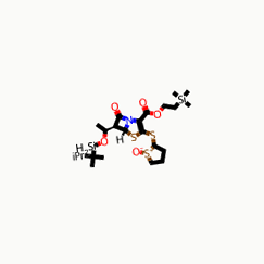 CC(O[SiH2]C(C)(C)C(C)C)[C@H]1C(=O)N2C(C(=O)OCC[Si](C)(C)C)=C(SC3CCC[S+]3[O-])S[C@H]12